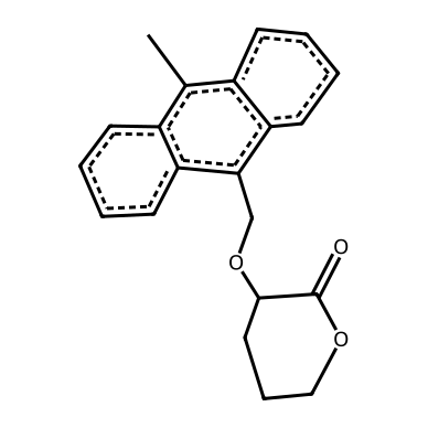 Cc1c2ccccc2c(COC2CCCOC2=O)c2ccccc12